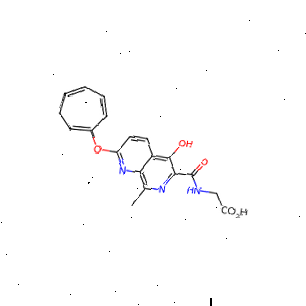 Cc1nc(C(=O)NCC(=O)O)c(O)c2ccc(OC3=CCC=CC=C3)nc12